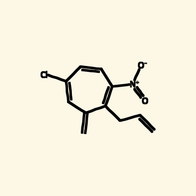 C=CCC1=C([N+](=O)[O-])C=CC(Cl)=CC1=C